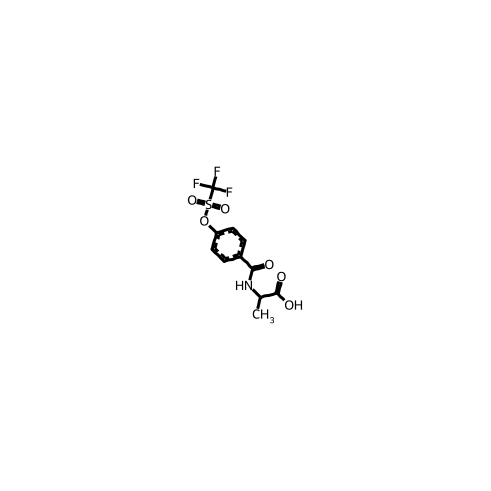 CC(NC(=O)c1ccc(OS(=O)(=O)C(F)(F)F)cc1)C(=O)O